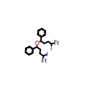 CCC(I)CCC(OC(CCC(I)CC)c1ccccc1)c1ccccc1